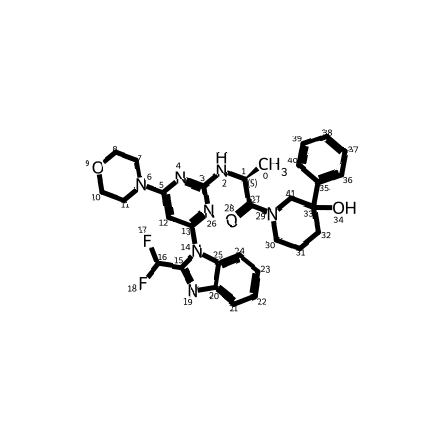 C[C@H](Nc1nc(N2CCOCC2)cc(-n2c(C(F)F)nc3ccccc32)n1)C(=O)N1CCCC(O)(c2ccccc2)C1